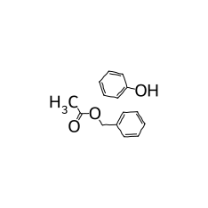 CC(=O)OCc1ccccc1.Oc1ccccc1